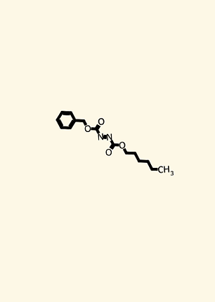 CCCCCCOC(=O)N=NC(=O)OCc1ccccc1